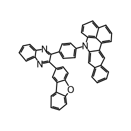 c1ccc2cc3c(cc2c1)-c1cccc2cccc(c12)N3c1ccc(-c2nc3ccccc3nc2-c2ccc3oc4ccccc4c3c2)cc1